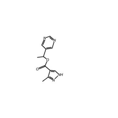 Cc1n[nH]cc1C(=O)OC(C)c1cncnc1